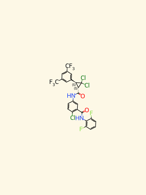 O=C(Nc1c(F)cccc1F)c1cc(NC(=O)[C@@H]2[C@@H](c3cc(C(F)(F)F)cc(C(F)(F)F)c3)C2(Cl)Cl)ccc1Cl